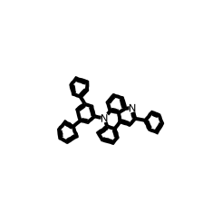 c1ccc(-c2cc(-c3ccccc3)cc(N3c4ccccc4-c4cc(-c5ccccc5)nc5cccc3c45)c2)cc1